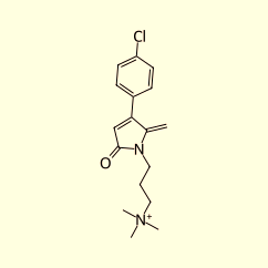 C=C1C(c2ccc(Cl)cc2)=CC(=O)N1CCC[N+](C)(C)C